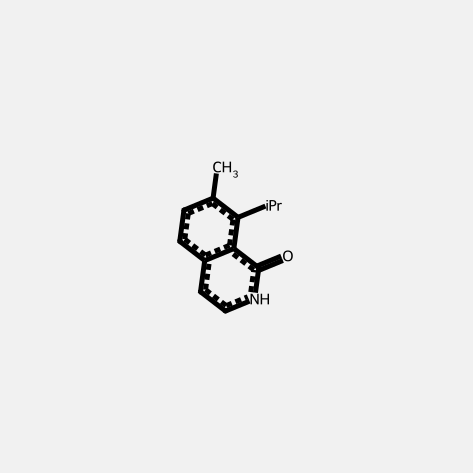 Cc1ccc2cc[nH]c(=O)c2c1C(C)C